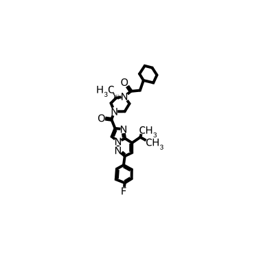 CC(C)c1cc(-c2ccc(F)cc2)nn2cc(C(=O)N3CCN(C(=O)CC4CCCCC4)[C@@H](C)C3)nc12